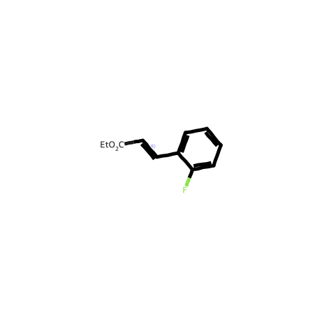 CCOC(=O)/C=C/c1ccccc1F